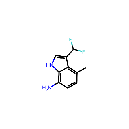 Cc1ccc(N)c2[nH]cc(C(F)F)c12